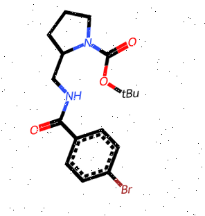 CC(C)(C)OC(=O)N1CCCC1CNC(=O)c1ccc(Br)cc1